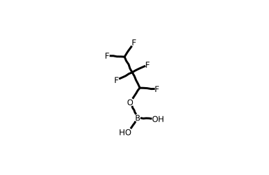 OB(O)OC(F)C(F)(F)C(F)F